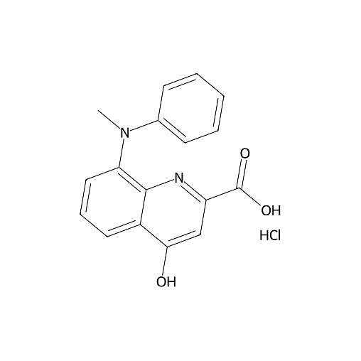 CN(c1ccccc1)c1cccc2c(O)cc(C(=O)O)nc12.Cl